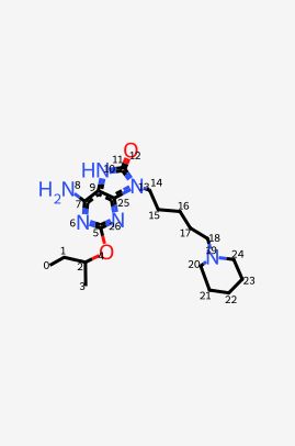 CCC(C)Oc1nc(N)c2[nH]c(=O)n(CCCCCN3CCCCC3)c2n1